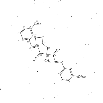 COc1cccc(/C=C/C(=O)C(C)(CC2CCC2)C(=O)/C=C/c2cccc(OC)c2)c1